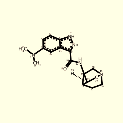 CN(C)c1ccc2[nH]nc(C(=O)N[C@H]3CN4CCC3CC4)c2c1